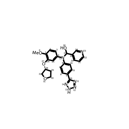 COc1ccc(N(c2ccc(-c3nn[nH]n3)cc2)C(O)c2cccnc2)cc1O[C@@H]1CCOC1